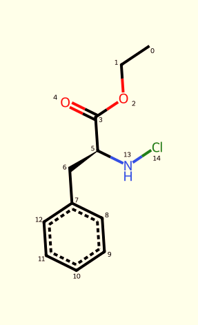 CCOC(=O)[C@H](Cc1ccccc1)NCl